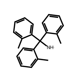 Cc1ccccc1C([NH])(c1ccccc1C)c1ccccc1C